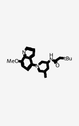 COc1ccc(N2CC(C)CC(NC(=O)CC(C)(C)C)C2)c2cccnc12